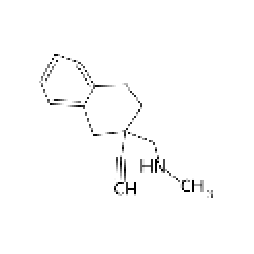 C#CC1(CNC)CCc2ccccc2C1